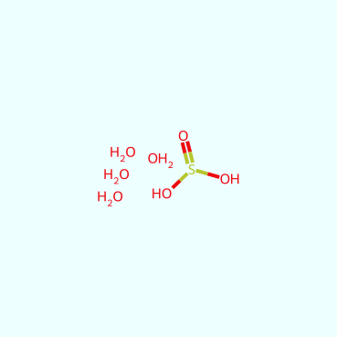 O.O.O.O.O=S(O)O